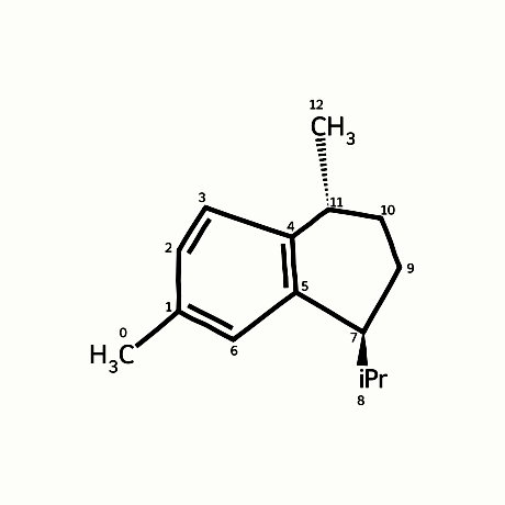 Cc1ccc2c(c1)[C@H](C(C)C)CC[C@H]2C